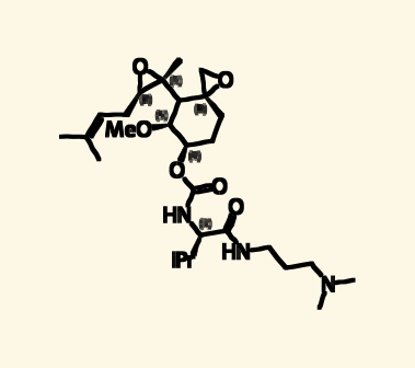 CO[C@H]1C([C@@]2(C)O[C@@H]2CC=C(C)C)[C@]2(CC[C@H]1OC(=O)N[C@@H](C(=O)NCCCN(C)C)C(C)C)CO2